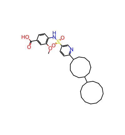 COc1cc(C(=O)O)ccc1NS(=O)(=O)c1ccc(C2CCCCCC(C3CCCCCCCCCCC3)CCCC2)nc1